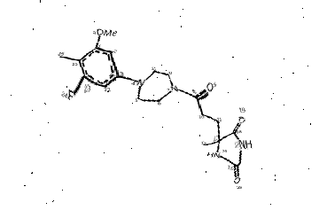 COc1cc(N2CCN(C(=O)CCC3(C)NC(=O)NC3=O)CC2)cc(F)c1C